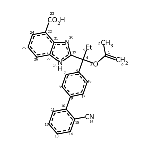 C=C(C)OC(CC)(c1ccc(-c2ccccc2C#N)cc1)c1nc2c(C(=O)O)cccc2[nH]1